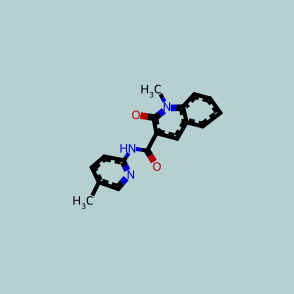 Cc1ccc(NC(=O)c2cc3ccccc3n(C)c2=O)nc1